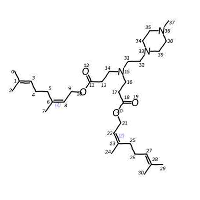 CC(C)=CCC/C(C)=C\COC(=O)CCN(CCC(=O)OC/C=C(/C)CCC=C(C)C)CCN1CCN(C)CC1